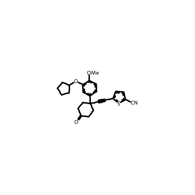 COc1ccc(C2(C#Cc3ccc(C#N)s3)CCC(=O)CC2)cc1OC1CCCC1